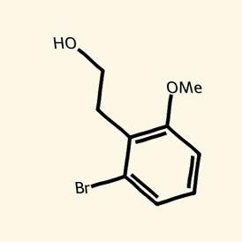 COc1cccc(Br)c1CCO